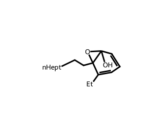 CCCCCCCCCC12OC1(O)C=CC=C2CC